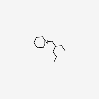 CCCC(CC)CN1CCCCC1